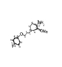 CO[C@H]1CN(CCCOc2ccc(F)cc2)CC[C@@H]1N